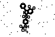 CC(=O)Nc1ccc(S(=O)(=O)n2nc(-c3ccccc3)c3c2C=CC(=O)C3=O)cc1